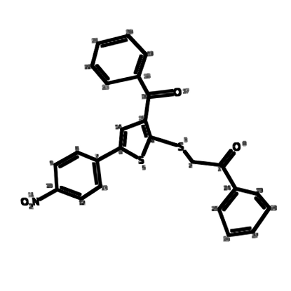 O=C(CSc1sc(-c2ccc([N+](=O)[O-])cc2)cc1C(=O)c1ccccc1)c1ccccc1